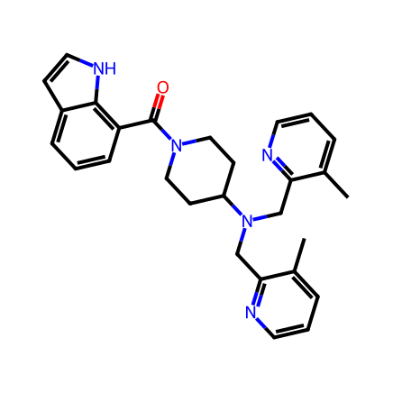 Cc1cccnc1CN(Cc1ncccc1C)C1CCN(C(=O)c2cccc3cc[nH]c23)CC1